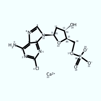 Nc1nc(Cl)nc2c1ncn2[C@H]1C[C@H](O)[C@@H](COP(=O)([O-])[O-])O1.[Ca+2]